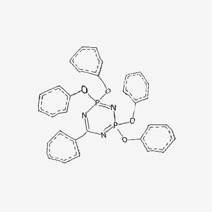 c1ccc(OP2(Oc3ccccc3)=NC(c3ccccc3)=NP(Oc3ccccc3)(Oc3ccccc3)=N2)cc1